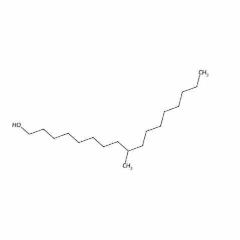 CCCCCCCCC(C)CCCCCCCCO